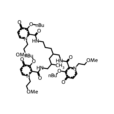 CCCCOc1c(C(=O)NCCCC(CNC(=O)c2c(OCCCC)c(=O)ccn2CCOC)CC(C)CNC(=O)c2c(OCCCC)c(=O)ccn2CCOC)n(CCOC)ccc1=O